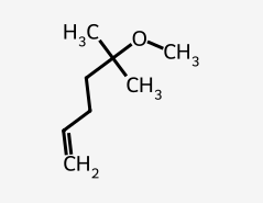 C=CCCC(C)(C)OC